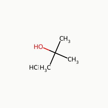 CC(C)(C)O.[CH]